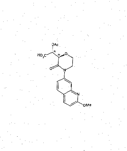 COc1ccc2ccc(N3CCO[C@H]([C@@H](OC(C)=O)C(=O)O)C3=O)cc2n1